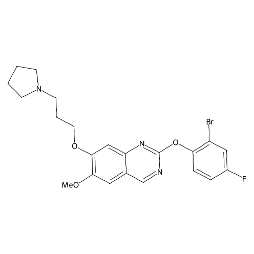 COc1cc2cnc(Oc3ccc(F)cc3Br)nc2cc1OCCCN1CCCC1